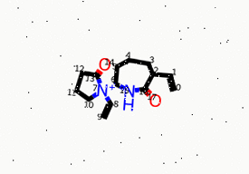 C=CC1CCCC([N+]2(C=C)CCCC2=O)NC1=O